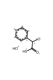 Cl.O=C(S)C(Cl)c1ccncc1